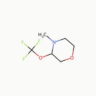 CN1CCO[CH]C1OC(F)(F)F